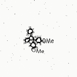 COc1ccc(C2(c3ccc(OC)cc3)CC(c3ccccc3)c3ccccc32)cc1